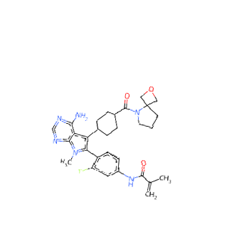 C=C(C)C(=O)Nc1ccc(-c2c(C3CCC(C(=O)N4CCCC45COC5)CC3)c3c(N)ncnc3n2C)c(F)c1